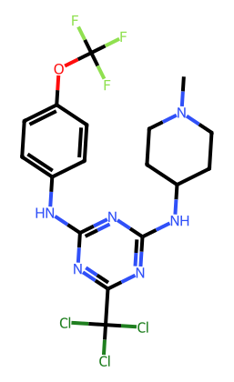 CN1CCC(Nc2nc(Nc3ccc(OC(F)(F)F)cc3)nc(C(Cl)(Cl)Cl)n2)CC1